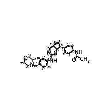 CC(=O)Nc1ccc(-c2csc3cnc(Nc4ccc(CN5CCOCC5)cc4)nc23)cc1